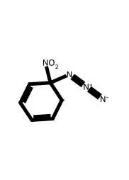 [N-]=[N+]=NC1([N+](=O)[O-])[CH]C=CC=C1